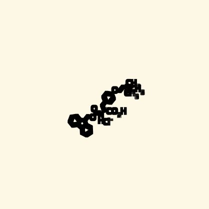 C[N+](C)(C)CCOc1ccc(C[C@H](NC(=O)OCC2c3ccccc3-c3ccccc32)C(=O)O)cc1.[Cl-]